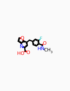 CNC(=O)c1ccc(Cc2cc(C(=O)O)nc3ccoc23)cc1F